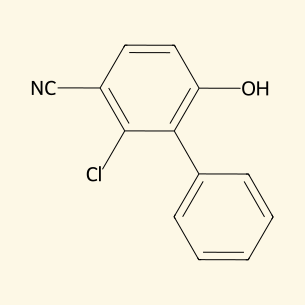 N#Cc1ccc(O)c(-c2ccccc2)c1Cl